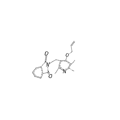 C=CCOc1c(C)c(C)nc(C)c1CN1C(=O)c2ccccc2C1=O